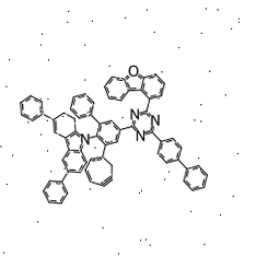 C1#CCC(c2cc(-c3nc(-c4ccc(-c5ccccc5)cc4)nc(-c4cccc5oc6ccccc6c45)n3)cc(-c3ccccc3)c2-n2c3c(c4cc(-c5ccccc5)ccc42)C=C(c2ccccc2)CC3)=CC=C1